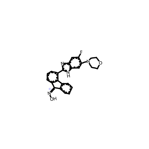 O/N=C1\c2ccccc2-c2c1cccc2-c1nc2cc(F)c(N3CCOCC3)cc2[nH]1